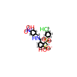 Cl.O=[N+](O)c1ccc(CNCc2cccc3c2C(S(=O)(=O)c2ccccc2)CS3([O-])O)cc1